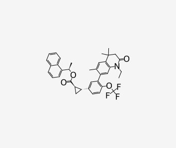 CCN1C(=O)CC(C)(C)c2cc(C)c(-c3cc([C@@H]4C[C@H]4C(=O)O[C@H](C)c4cccc5ccccc45)ccc3OC(F)(F)F)cc21